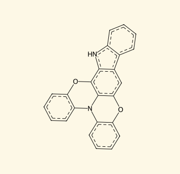 c1ccc2c(c1)Oc1cc3c([nH]c4ccccc43)c3c1N2c1ccccc1O3